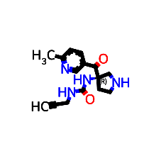 C#CCNC(=O)N[C@]1(C(=O)c2ccc(C)nc2)CCNC1